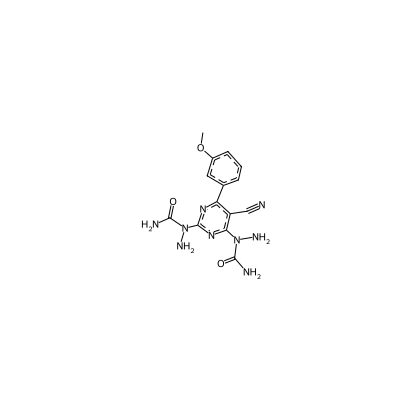 COc1cccc(-c2nc(N(N)C(N)=O)nc(N(N)C(N)=O)c2C#N)c1